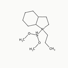 CCC[N+]1([SiH](OC)OC)CCC2CCCCC21